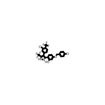 Oc1cc(OCc2ccc(Cl)cc2)ccc1-c1n[nH]c(C(F)(F)F)c1-c1ccc(C(F)(F)F)c(Cl)c1